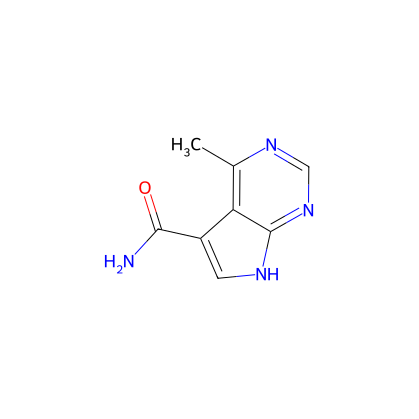 Cc1ncnc2[nH]cc(C(N)=O)c12